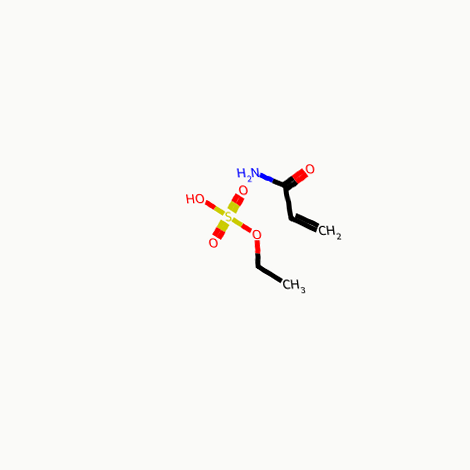 C=CC(N)=O.CCOS(=O)(=O)O